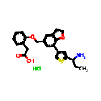 CCC(N)c1cc(-c2cc(COc3ccccc3CC(=O)O)cc3ccoc23)cs1.Cl